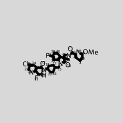 COc1cccc(C(=O)N2CC3(C2)C(=O)N(CC2CCC(NC(=O)c4cc(Cl)cnc4C(F)F)CC2)c2cc(F)ccc23)n1